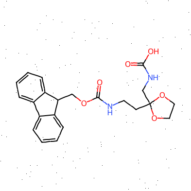 O=C(O)NCC1(CCNC(=O)OCC2c3ccccc3-c3ccccc32)OCCO1